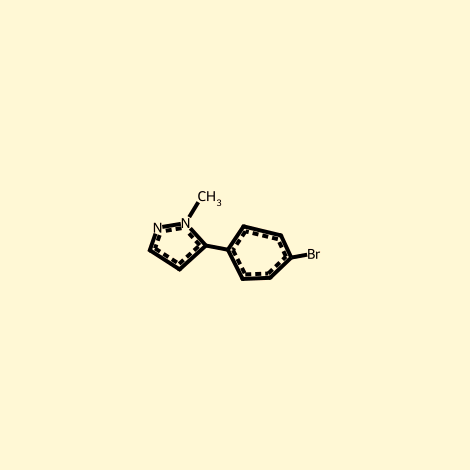 Cn1nccc1-c1ccc(Br)cc1